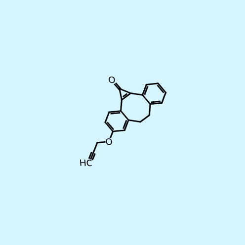 C#CCOc1ccc2c(c1)CCc1ccccc1-c1c-2c1=O